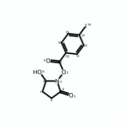 O=C(ON1C(=O)CCC1O)c1ccc(I)cc1